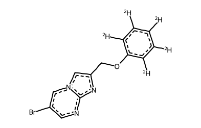 [2H]c1c([2H])c([2H])c(OCc2cn3cc(Br)cnc3n2)c([2H])c1[2H]